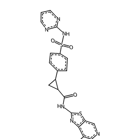 O=C(Nc1nc2c(Cl)cncc2s1)C1CC1c1ccc(S(=O)(=O)Nc2ncccn2)cc1